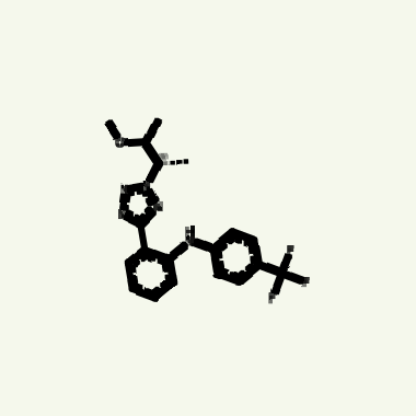 COC(C)[C@H](C)n1nnc(-c2ccccc2Nc2ccc(C(F)(F)F)cc2)n1